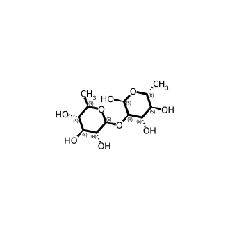 C[C@H]1O[C@@H](O[C@@H]2[C@@H](O)[C@H](O)[C@@H](C)O[C@@H]2O)[C@H](O)[C@@H](O)[C@@H]1O